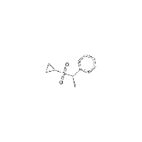 O=S(=O)(C1CC1)C(I)c1ccccc1